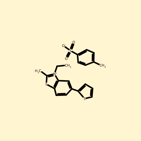 CC[n+]1c(C)sc2ccc(-c3cccs3)cc21.Cc1ccc(S(=O)(=O)[O-])cc1